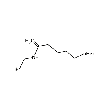 C=C(CCCCCCCCCC)NCC(C)C